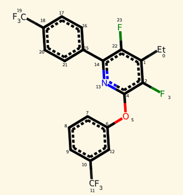 CCc1c(F)c(Oc2cccc(C(F)(F)F)c2)nc(-c2ccc(C(F)(F)F)cc2)c1F